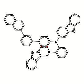 c1cc(-c2ccc(N(c3ccc4c(c3)oc3ccccc34)c3ccccc3-c3ccc4sc5ccccc5c4c3)cc2)cc(-c2ccc3ccccc3c2)c1